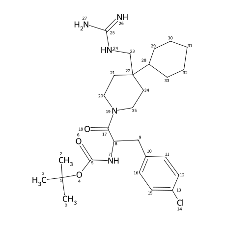 CC(C)(C)OC(=O)NC(Cc1ccc(Cl)cc1)C(=O)N1CCC(CNC(=N)N)(C2CCCCC2)CC1